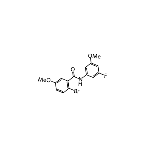 COc1cc(F)cc(NC(=O)c2cc(OC)ccc2Br)c1